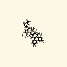 CNC(c1ccc(Cl)cc1)C(c1ccc(Cl)cc1)N1CSC(C(=O)N2C(C(=O)N3CCNC4(CC4)C3)CC[C@H]2C)=C1C(C)C